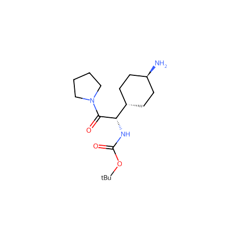 CC(C)(C)OC(=O)N[C@H](C(=O)N1CCCC1)[C@H]1CC[C@H](N)CC1